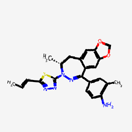 C/C=C/c1nnc(N2N=C(c3ccc(N)c(C)c3)c3cc4c(cc3C[C@H]2C)OCO4)s1